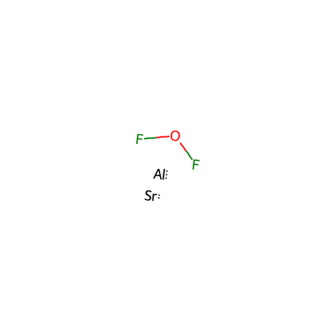 FOF.[Al].[Sr]